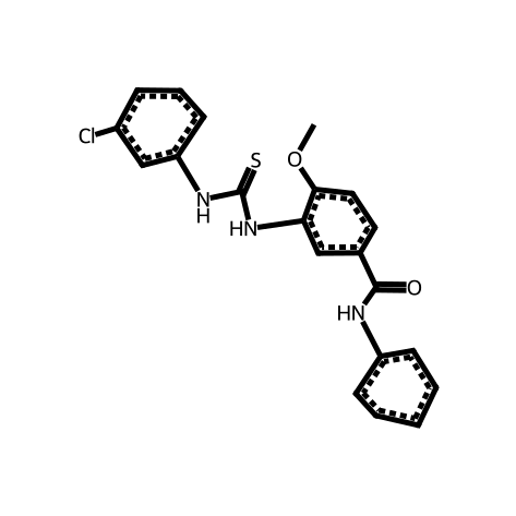 COc1ccc(C(=O)Nc2ccccc2)cc1NC(=S)Nc1cccc(Cl)c1